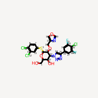 OCC1OC(Sc2ccc(Cl)c(Cl)c2)C(OCc2cocn2)C(n2cc(-c3cc(F)c(Cl)c(F)c3)nn2)C1O